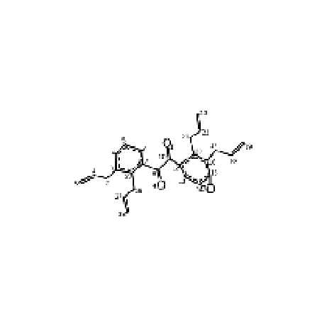 C=CCc1cccc(C(=O)C(=O)c2cc3c(c(CC=C)c2CC=C)O3)c1CC=C